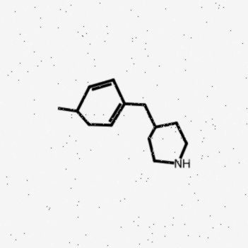 CC1C=CC(CC2CCNCC2)=CC1